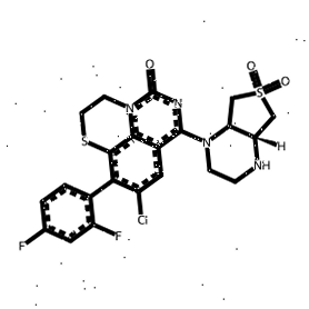 O=c1nc(N2CCN[C@H]3CS(=O)(=O)CC32)c2cc(Cl)c(-c3ccc(F)cc3F)c3c2n1CCS3